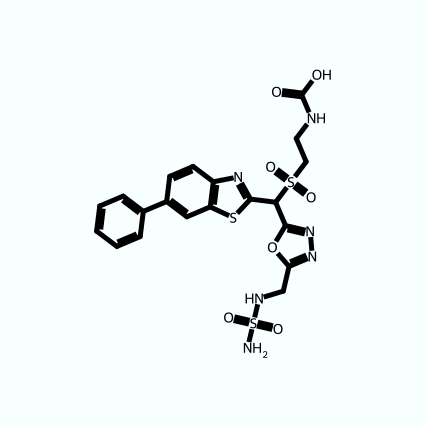 NS(=O)(=O)NCc1nnc(C(c2nc3ccc(-c4ccccc4)cc3s2)S(=O)(=O)CCNC(=O)O)o1